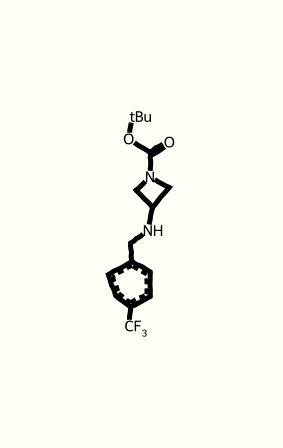 CC(C)(C)OC(=O)N1CC(NCc2ccc(C(F)(F)F)cc2)C1